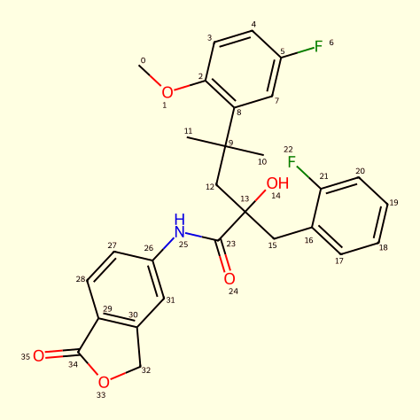 COc1ccc(F)cc1C(C)(C)CC(O)(Cc1ccccc1F)C(=O)Nc1ccc2c(c1)COC2=O